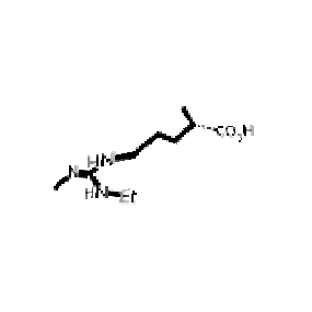 CCN/C(=N\C)NCCC[C@H](C)C(=O)O